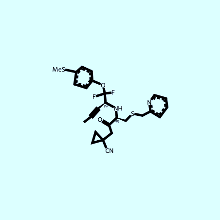 CC#C[C@H](N[C@@H](CSCc1ccccn1)C(=O)CC1(C#N)CC1)C(F)(F)Oc1ccc(SC)cc1